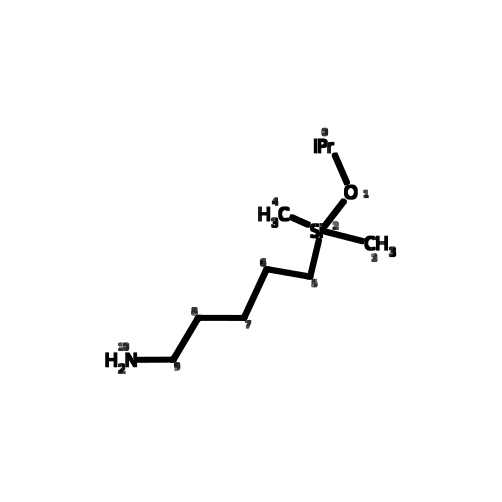 CC(C)O[Si](C)(C)CCCCCN